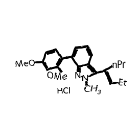 CC/C=C(\CCC)c1c2cccc(-c3ccc(OC)cc3OC)c2nn1C.Cl